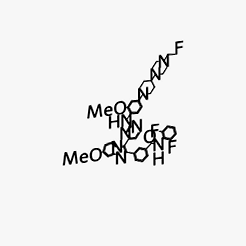 COc1ccn2c(-c3ccnc(Nc4ccc(N5CCC(N6CCN(CCF)CC6)CC5)cc4OC)n3)c(-c3cccc(C(=O)Nc4c(F)cccc4F)c3)nc2c1